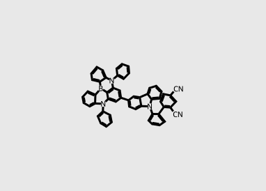 N#Cc1ccc(-c2ccccc2-n2c3ccccc3c3cc(-c4cc5c6c(c4)N(c4ccccc4)c4ccccc4B6c4ccccc4N5c4ccccc4)ccc32)c(C#N)c1